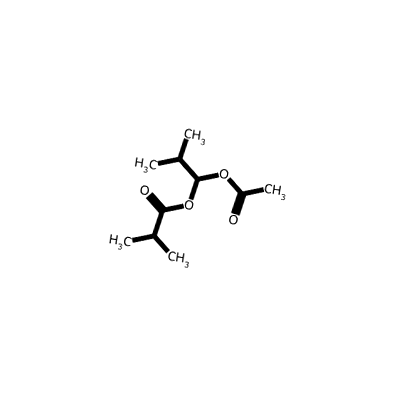 CC(=O)OC(OC(=O)C(C)C)C(C)C